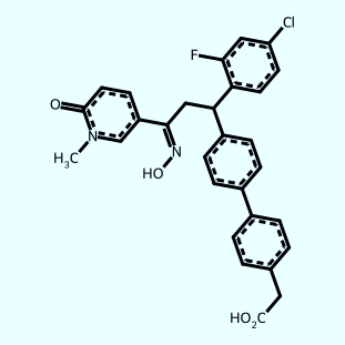 Cn1cc(C(CC(c2ccc(-c3ccc(CC(=O)O)cc3)cc2)c2ccc(Cl)cc2F)=NO)ccc1=O